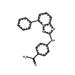 NC(=O)c1ccc(Nc2nc3cccc(-c4ccccc4)n3n2)cc1